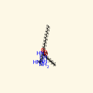 CCCCCCCCCCCCCCCCOC(=O)N[C@@H](CCCNC(=N)N)C(=O)NCCCCCCCC